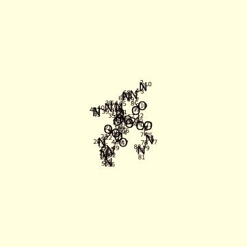 CN(C)CCN(C)CCC(=O)OCC(COCC(COC(=O)CCN(C)CCN(C)C)(COC(=O)CCN(C)CCN(C)C)COC(=O)CCN(C)CCN(C)C)(COC(=O)CCN(C)CCN(C)C)COC(=O)CCN(C)CCN(C)C